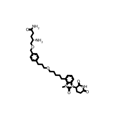 Cn1c(=O)n(C2CCC(=O)NC2=O)c2cccc(CCCCCOCCCc3ccc(COC[C@@H](N)CCC(N)=O)cc3)c21